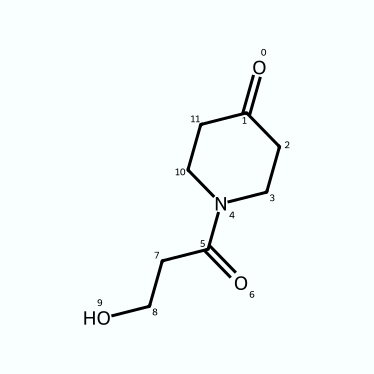 O=C1CCN(C(=O)CCO)CC1